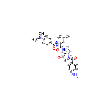 CC(C)C[C@H](NC(=O)c1ccc(N(C)C)cc1)C(=O)N1CC[C@@H]2[C@H]1C(=O)CN2C(=O)c1ccc(N)cc1